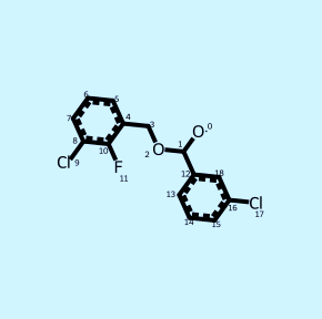 [O]C(OCc1cccc(Cl)c1F)c1cccc(Cl)c1